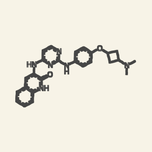 CN(C)C1CC(Oc2ccc(Nc3nccc(Nc4cc5ccccc5[nH]c4=O)n3)cc2)C1